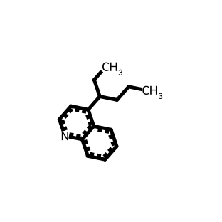 CCCC(CC)c1ccnc2ccccc12